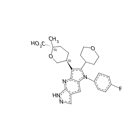 C[C@@]1(C(=O)O)CC[C@@H](c2c(C3CCOCC3)n(-c3ccc(F)cc3)c3cc4cn[nH]c4nc23)CO1